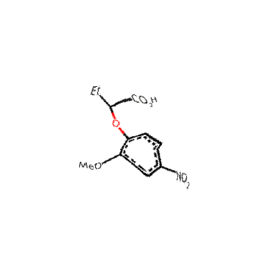 CCC(Oc1ccc([N+](=O)[O-])cc1OC)C(=O)O